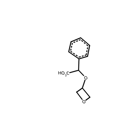 O=C(O)C(OC1COC1)c1ccccc1